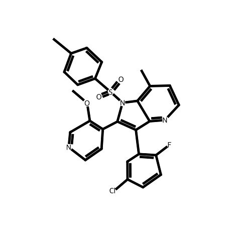 COc1cnccc1-c1c(-c2cc(Cl)ccc2F)c2nccc(C)c2n1S(=O)(=O)c1ccc(C)cc1